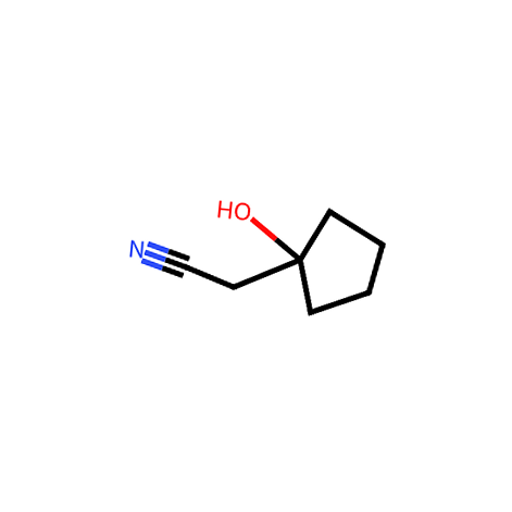 N#CCC1(O)CCCC1